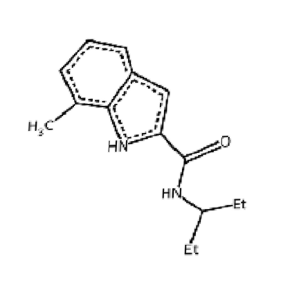 CCC(CC)NC(=O)c1cc2cccc(C)c2[nH]1